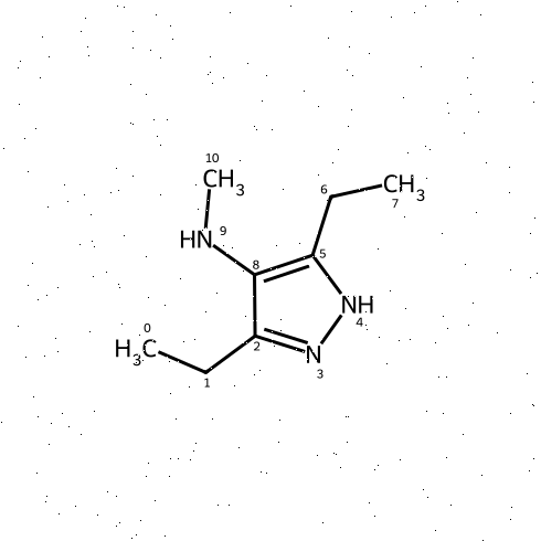 CCc1n[nH]c(CC)c1NC